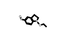 CCON1CCc2cc(N=O)ccc21